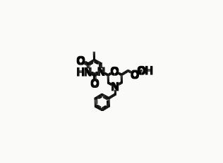 Cc1cn(C2CN(Cc3ccccc3)CC(COO)O2)c(=O)[nH]c1=O